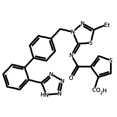 CCc1nn(Cc2ccc(-c3ccccc3-c3nnn[nH]3)cc2)c(=NC(=O)c2cscc2C(=O)O)s1